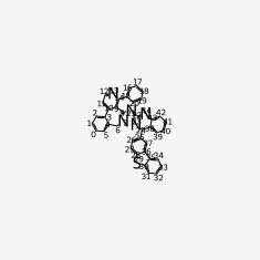 c1ccc2c(c1)CN=C1c3c-2ccnc3-c2ccccc2N1c1nc(-c2ccc3sc4ccccc4c3c2)c2ccccc2n1